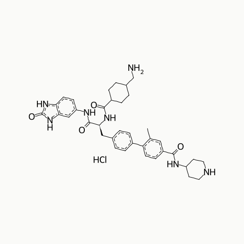 Cc1cc(C(=O)NC2CCNCC2)ccc1-c1ccc(C[C@H](NC(=O)C2CCC(CN)CC2)C(=O)Nc2ccc3[nH]c(=O)[nH]c3c2)cc1.Cl